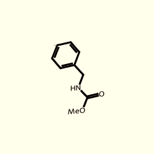 COC(=O)NCc1cc[c]cc1